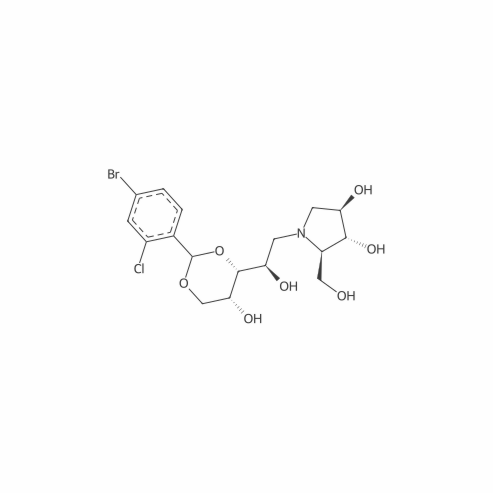 OC[C@@H]1[C@@H](O)[C@H](O)CN1C[C@@H](O)[C@H]1OC(c2ccc(Br)cc2Cl)OC[C@H]1O